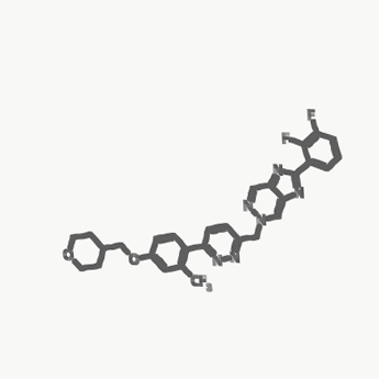 Fc1cccc(-c2nc3cnn(Cc4ccc(-c5ccc(OCC6CCOCC6)cc5C(F)(F)F)nn4)cc-3n2)c1F